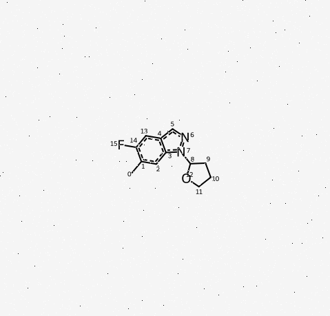 Cc1cc2c(cnn2C2CCCO2)cc1F